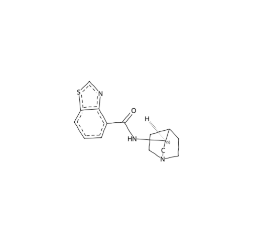 O=C(N[C@@H]1CN2CCC1CC2)c1cccc2scnc12